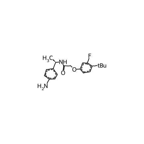 C[C@@H](NC(=O)COc1ccc(C(C)(C)C)c(F)c1)c1ccc(N)cc1